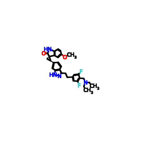 CCN(CC)Cc1c(F)cc(CCc2n[nH]c3cc([C@@H]4C[C@@]45C(=O)Nc4ccc(OC)cc45)ccc23)cc1F